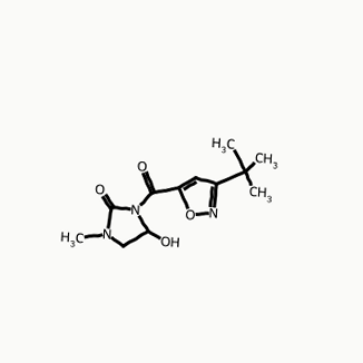 CN1CC(O)N(C(=O)c2cc(C(C)(C)C)no2)C1=O